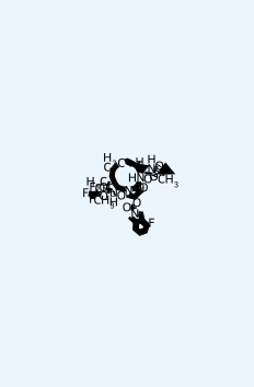 CC[C@@H]1C[C@H](C)CCC=C[C@@H]2C[C@@]2(C(=O)NS(=O)(=O)C2(C)CC2)NC(=O)[C@@H]2C[C@@H](OC(=O)N3Cc4cccc(F)c4C3)CN2C(=O)[C@H]1NC(=O)OC(C)(C)C(F)(F)F